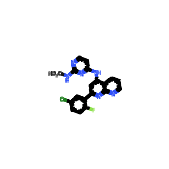 O=C(O)Nc1nccc(Nc2cc(-c3cc(Cl)ccc3F)nc3ncccc23)n1